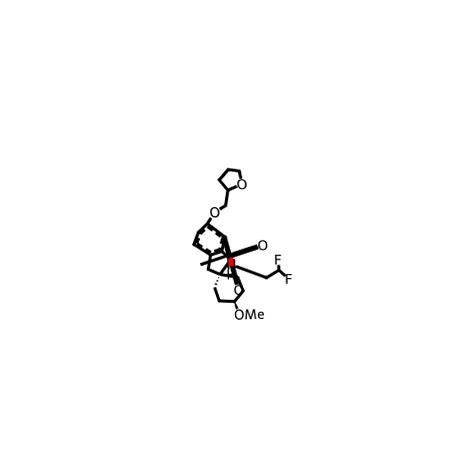 CO[C@H]1CC[C@]2(CC1)Cc1ccc(OCC3CCCO3)cc1C21NC(=O)N(CC(F)F)C1=O